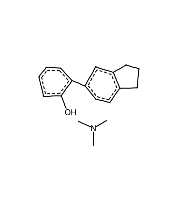 CN(C)C.Oc1ccccc1-c1ccc2c(c1)CCC2